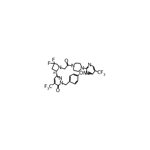 COc1ccc(Cn2nc([C@H]3CC(F)(F)CN3CC(=O)N3CCN(c4ncc(C(F)(F)F)cn4)CC3)cc(C(F)(F)F)c2=O)cc1